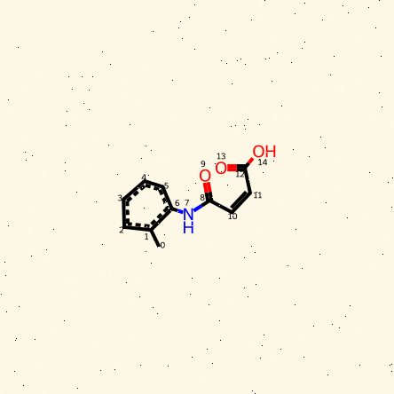 Cc1ccccc1NC(=O)/C=C\C(=O)O